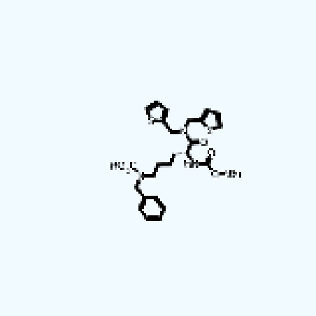 CC(C)(C)OC(=O)N[C@H](CCCCN(Cc1ccccc1)C(=O)O)C(=O)N(Cc1cccs1)Cc1cccs1